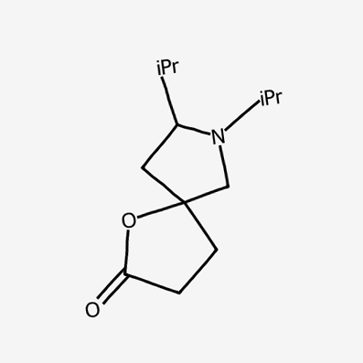 CC(C)C1CC2(CCC(=O)O2)CN1C(C)C